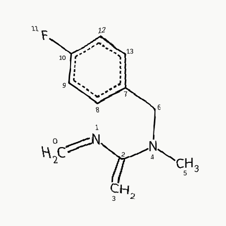 C=NC(=C)N(C)Cc1ccc(F)cc1